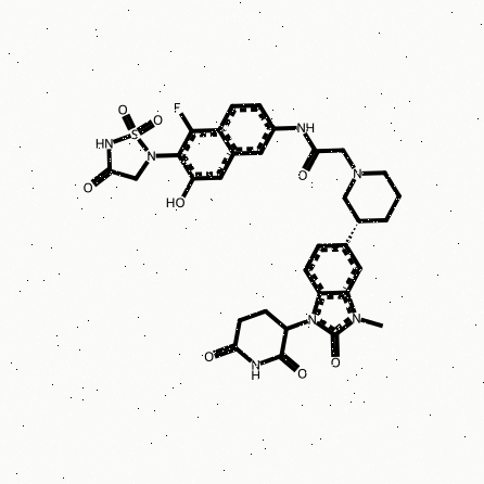 Cn1c(=O)n(C2CCC(=O)NC2=O)c2ccc([C@H]3CCCN(CC(=O)Nc4ccc5c(F)c(N6CC(=O)NS6(=O)=O)c(O)cc5c4)C3)cc21